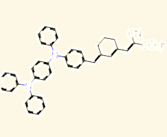 N#C/C(=C\C1=CC(=C/c2ccc(N(c3ccccc3)c3ccc(N(c4ccccc4)c4ccccc4)cc3)cc2)/CCC1)C(=O)O